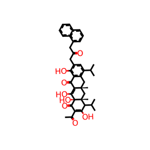 CC(=O)C1=C(O)C(C(C)C)[C@@]2(C)C[C@@]3(C)Cc4c(C(C)C)cc(CC(=O)Cc5cccc6ccccc56)c(O)c4C(=O)C3=C(O)[C@@]2(O)C1=O